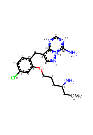 COC[C@H](N)CCCOc1cc(Cl)ccc1Cc1cnn2c(N)ncnc12